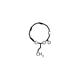 CCCC1C/C=C\C/C=C\C/C=C\CCCCC(=O)O1